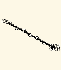 C=C(C)C(=O)OCCCCOCCCCOCCCCOCCCCOCCCCOCCCCOCCCCO